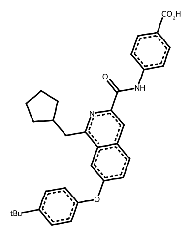 CC(C)(C)c1ccc(Oc2ccc3cc(C(=O)Nc4ccc(C(=O)O)cc4)nc(CC4CCCC4)c3c2)cc1